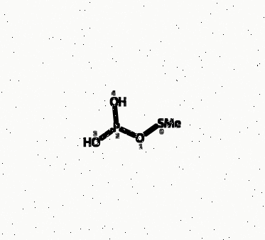 CSOP(O)O